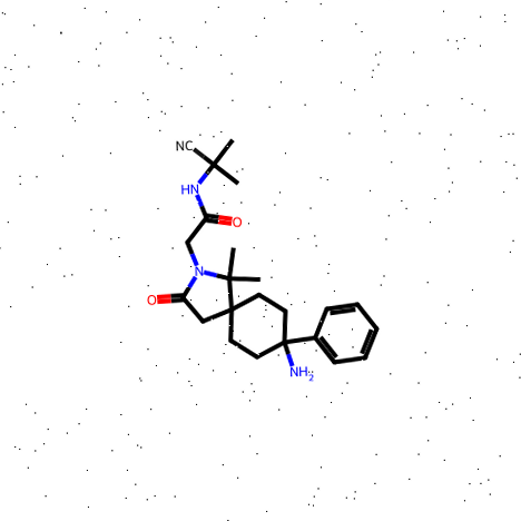 CC(C)(C#N)NC(=O)CN1C(=O)CC2(CCC(N)(c3ccccc3)CC2)C1(C)C